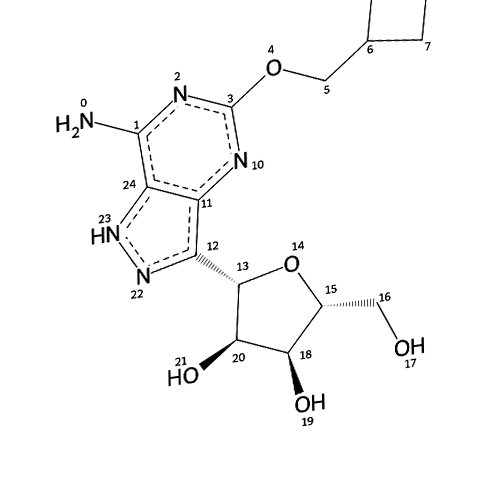 Nc1nc(OCC2CCC2)nc2c([C@@H]3O[C@H](CO)[C@@H](O)[C@H]3O)n[nH]c12